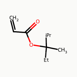 C=CC(=O)OC(C)(CC)C(C)C